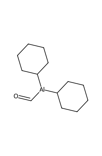 O=[CH][Al]([CH]1CCCCC1)[CH]1CCCCC1